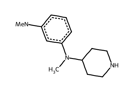 CNc1cccc(N(C)C2CCNCC2)c1